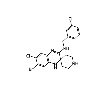 Clc1cccc(CNC2=Nc3cc(Cl)c(Br)cc3NC23CCNCC3)c1